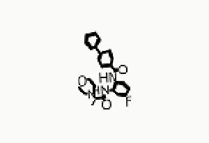 C[C@H](C(=O)Nc1cc(F)ccc1NC(=O)c1ccc(-c2ccccc2)cc1)N1CCOCC1